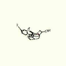 C[C@]1(O)C2CC3CC1CC(C2)[C@@]3(C(=O)N1CC(O)C1)c1ccc(F)cc1